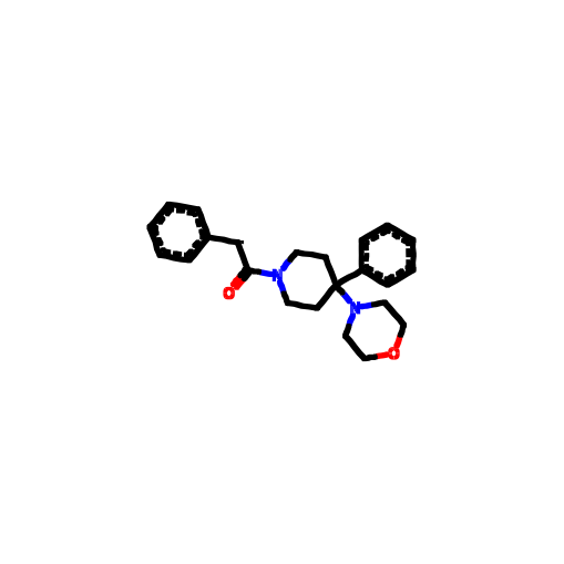 O=C([CH]c1ccccc1)N1CCC(c2ccccc2)(N2CCOCC2)CC1